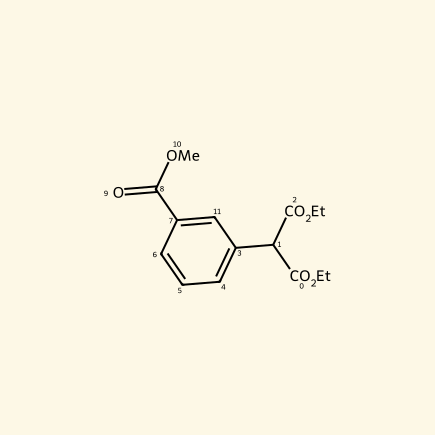 CCOC(=O)C(C(=O)OCC)c1cccc(C(=O)OC)c1